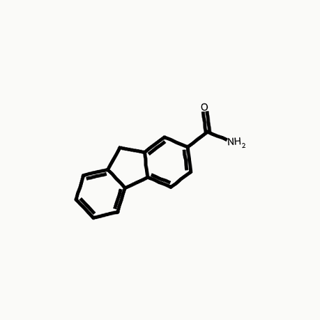 NC(=O)c1ccc2c(c1)Cc1ccccc1-2